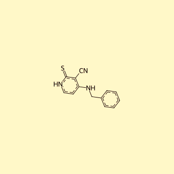 N#Cc1c(NCc2ccccc2)cc[nH]c1=S